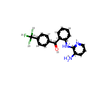 Nc1cccnc1Nc1ccccc1C(=O)c1ccc(C(F)(F)F)cc1